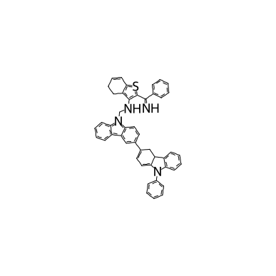 N=C(c1ccccc1)c1sc2c(c1NCn1c3ccccc3c3cc(C4=CC=C5C(C4)c4ccccc4N5c4ccccc4)ccc31)CCC=C2